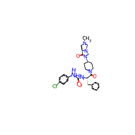 CN1C=C2C(=O)N(C3CCN(C(=O)[C@H](Cc4ccccc4)NC(=O)Nc4ccc(Cl)cc4)CC3)CN2C1